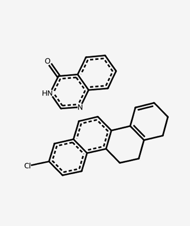 Clc1ccc2c3c(ccc2c1)C1=C(CCC=C1)CC3.O=c1[nH]cnc2ccccc12